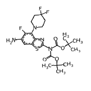 CC(C)(C)OC(=O)N(C(=O)OC(C)(C)C)c1nc2c(N3CCC(F)(F)CC3)c(F)c(N)cc2s1